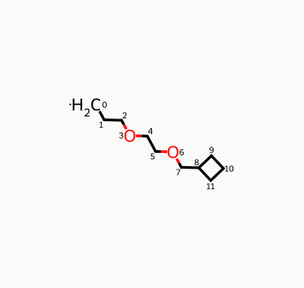 [CH2]CCOCCOCC1CCC1